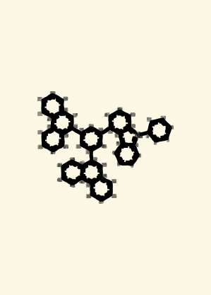 c1ccc(-n2c3ccccc3c3c(-c4cc(-c5cc6ccccc6c6ccccc56)cc(-c5cc6ccccc6c6ccccc56)c4)cccc32)cc1